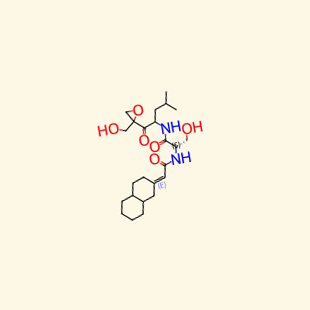 CC(C)CC(NC(=O)[C@H](CO)NC(=O)/C=C1\CCC2CCCCC2C1)C(=O)C1(CO)CO1